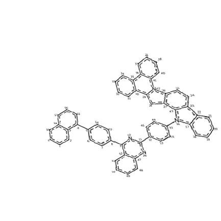 c1ccc2c(-c3ccc(-c4nc(-c5ccc(-n6c7ccccc7c7ccc8c(cc9c%10ccccc%10c%10ccccc%10n98)c76)cc5)nc5ccccc45)cc3)cccc2c1